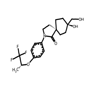 C[C@@H](Oc1ccc(N2CC[C@]3(CC[C@@](O)(CO)CC3)C2=O)cc1)C(F)(F)F